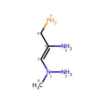 CN(N)/C=C(\N)CP